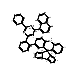 c1ccc(C2=NC(c3ccccc3-c3ccc4c(c3)C3(c5ccccc5O4)c4ccccc4-c4ccccc43)=NC(c3cccc4ccccc34)N2)cc1